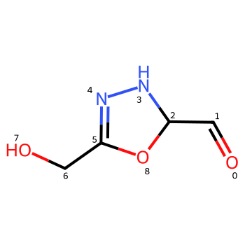 O=CC1NN=C(CO)O1